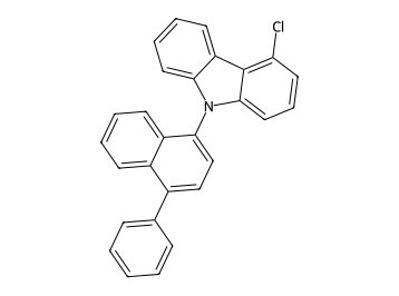 Clc1cccc2c1c1ccccc1n2-c1ccc(-c2ccccc2)c2ccccc12